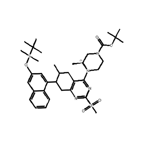 CC1Cc2c(nc(S(C)(=O)=O)nc2N2CCN(C(=O)OC(C)(C)C)C[C@@H]2C)CC1c1cc(O[Si](C)(C)C(C)(C)C)cc2ccccc12